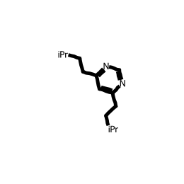 CC(C)CCc1cc(CCC(C)C)ncn1